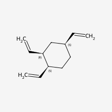 C=C[C@H]1CC[C@@H](C=C)[C@@H](C=C)C1